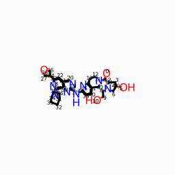 O=C([C@@H]1C[C@@H](O)CN1CCO)N1CCc2nc(Nc3ncc4cc(C5COC5)nc(N5C6CCC5CC6)c4n3)ccc2C1